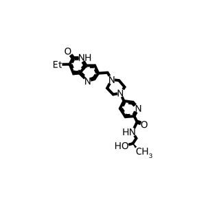 CCc1cc2ncc(CN3CCN(c4ccc(C(=O)NC[C@@H](C)O)nc4)CC3)cc2[nH]c1=O